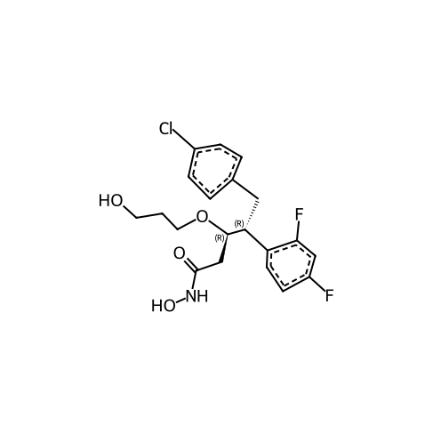 O=C(C[C@@H](OCCCO)[C@H](Cc1ccc(Cl)cc1)c1ccc(F)cc1F)NO